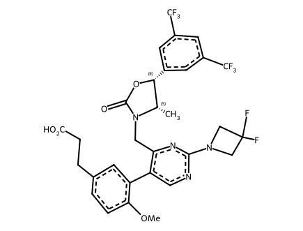 COc1ccc(CCC(=O)O)cc1-c1cnc(N2CC(F)(F)C2)nc1CN1C(=O)O[C@H](c2cc(C(F)(F)F)cc(C(F)(F)F)c2)[C@@H]1C